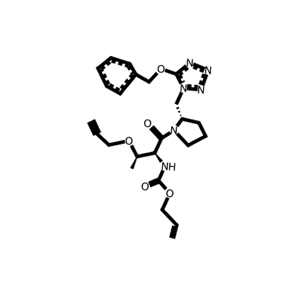 C#CCO[C@H](C)[C@H](NC(=O)OCC=C)C(=O)N1CCC[C@H]1Cn1nnnc1OCc1ccccc1